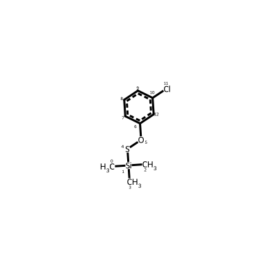 C[Si](C)(C)SOc1cccc(Cl)c1